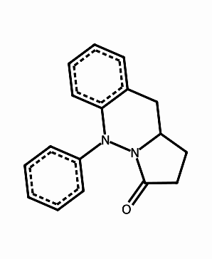 O=C1CCC2Cc3ccccc3N(c3ccccc3)N12